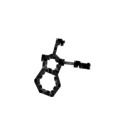 CCCC(C)n1c(C(C)C)nc2ccccc21